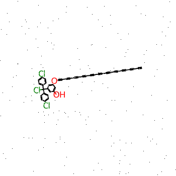 C#CC#CC#CC#CC#CC#CC#CC#CC#CC#CC#COc1cc(O)cc(C(Cl)(c2ccc(Cl)cc2)c2ccc(Cl)cc2)c1